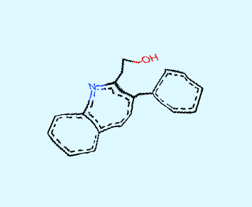 OCc1nc2ccccc2cc1-c1ccccc1